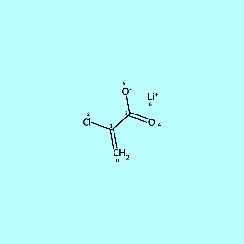 C=C(Cl)C(=O)[O-].[Li+]